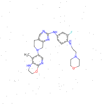 Cc1c(N2CCc3cnc(Nc4ccc(NCCN5CCOCC5)c(F)c4)nc3C2)cnc2c1NCCO2